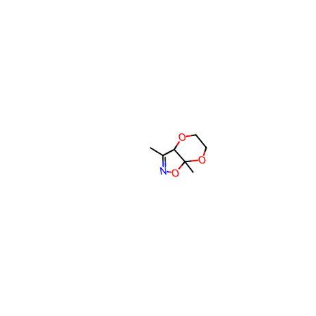 CC1=NOC2(C)OCCOC12